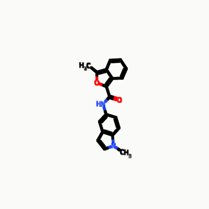 Cc1oc(C(=O)Nc2ccc3c(ccn3C)c2)c2ccccc12